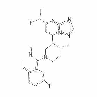 C=N/C(=c1/cc(F)cc/c1=C/C)N1CC[C@@H](C)[C@H](c2cc(C(F)F)nc3ncnn23)C1